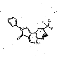 O=c1c2c[nH]c3ccc(C(F)(F)F)cc3c-2nn1-c1ccccc1